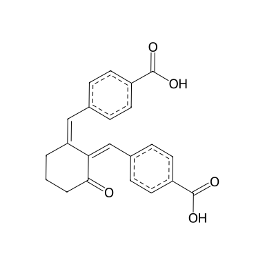 O=C1CCCC(=C/c2ccc(C(=O)O)cc2)/C1=C/c1ccc(C(=O)O)cc1